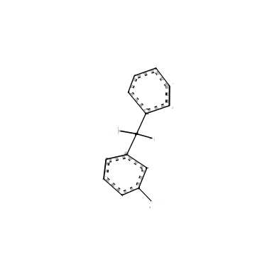 ClC(Cl)(c1ccccc1)c1cccc(Br)c1